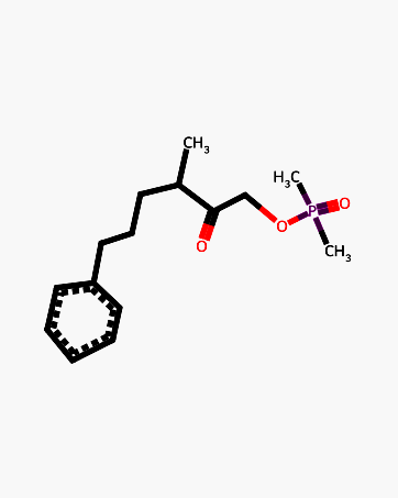 CC(CCCc1ccccc1)C(=O)COP(C)(C)=O